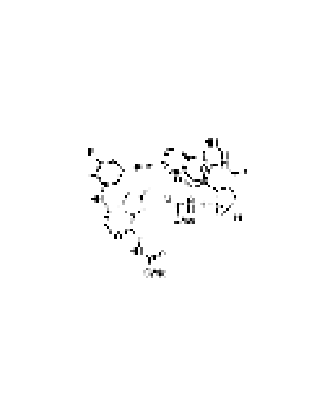 C=C(NC1=C(N)c2ccc(C#Cc3cc(F)c(C)c(N/C(=C/C)[C@@H]4CC(C)CN4C(=O)CNC(=O)OC)c3)cc2CC1)[C@@H]1C[C@H]2C[C@H]2N1C(=O)[C@@H](NC(=O)OC)C(C)C